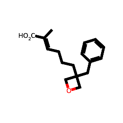 CC(=CCCCC1(Cc2ccccc2)COC1)C(=O)O